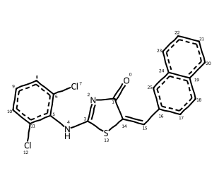 O=C1N=C(Nc2c(Cl)cccc2Cl)SC1=Cc1ccc2ccccc2c1